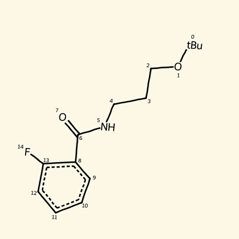 CC(C)(C)OCCCNC(=O)c1ccccc1F